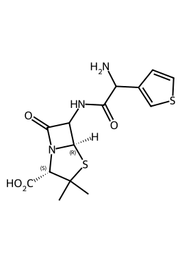 CC1(C)S[C@@H]2C(NC(=O)C(N)c3ccsc3)C(=O)N2[C@H]1C(=O)O